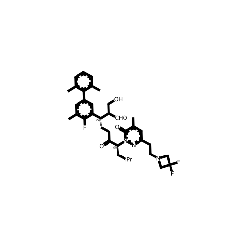 Cc1cc(-c2c(C)cccc2C)cc([C@@H](CCC(=O)[C@H](CC(C)C)n2nc(CCN3CC(F)(F)C3)cc(C)c2=O)C(C=O)CO)c1F